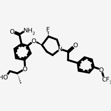 C[C@H](CO)Oc1ccc(C(N)=O)c(O[C@@H]2CCN(C(=O)Cc3ccc(OC(F)(F)F)cc3)C[C@H]2F)c1